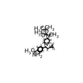 C[C@H](N)c1ccc(C(CC2CC2)N2CCC(N(C)C(=O)OC(C)(C)C)CC2)cc1